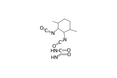 CC1CCC(C)C(N=C=O)C1N=C=O.N=C=O.N=C=O